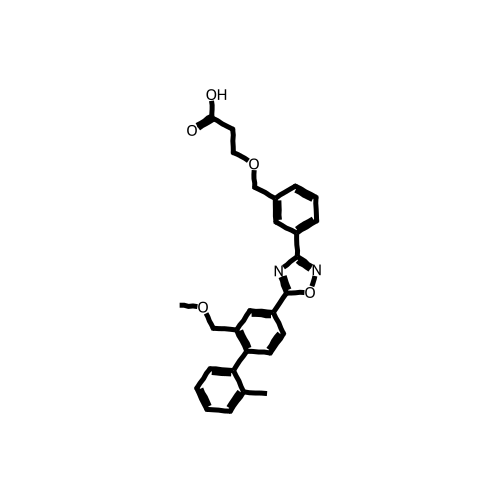 COCc1cc(-c2nc(-c3cccc(COCCC(=O)O)c3)no2)ccc1-c1ccccc1C